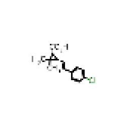 CC1(C)[C@H](/C=C/c2ccc(Cl)cc2)[C@H]1C(=O)O